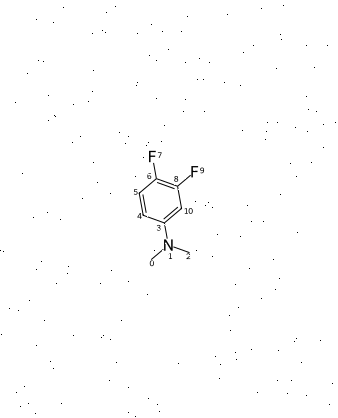 CN(C)c1ccc(F)c(F)c1